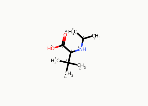 CC(C)NC(C(=O)O)C(C)(C)C